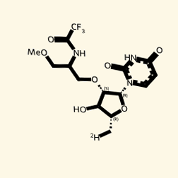 [2H]C[C@H]1O[C@@H](n2ccc(=O)[nH]c2=O)[C@@H](OCC(COC)NC(=O)C(F)(F)F)C1O